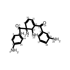 Nc1ccc(C(=O)C2(N)C=CC=C(C(=O)c3cccc(N)c3)C2N)cc1